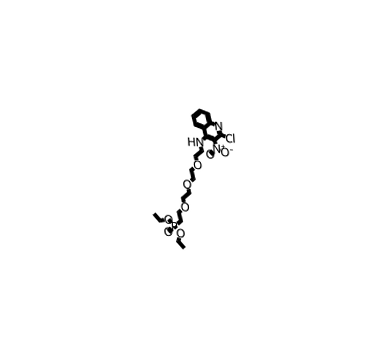 CCOP(=O)(CCOCCOCCOCCNc1c([N+](=O)[O-])c(Cl)nc2ccccc12)OCC